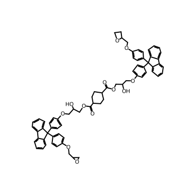 O=C(OCC(O)COc1ccc(C2(c3ccc(OCC4CCO4)cc3)c3ccccc3-c3ccccc32)cc1)C1CCC(C(=O)OCC(O)COc2ccc(C3(c4ccc(OCC5CO5)cc4)c4ccccc4-c4ccccc43)cc2)CC1